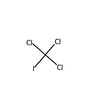 ClC(Cl)(Cl)I